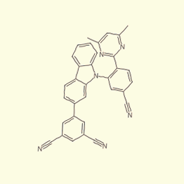 Cc1cc(C)nc(-c2ccc(C#N)cc2-n2c3ccccc3c3ccc(-c4cc(C#N)cc(C#N)c4)cc32)n1